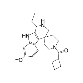 CCC1NCC2(CCN(C(=O)C3CCC3)CC2)c2c1[nH]c1cc(OC)ccc21